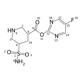 NS(=O)(=O)C1CNCC(C(=O)Oc2ncc(F)cn2)C1